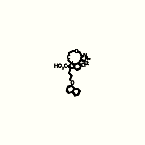 CCc1c2c(nn1C)COCCCCn1c(C(=O)O)c(CCCOc3cccc4ccccc34)c3ccc(Cl)c-2c31